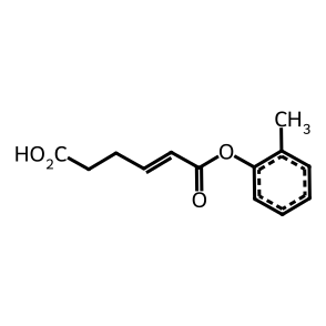 Cc1ccccc1OC(=O)C=CCCC(=O)O